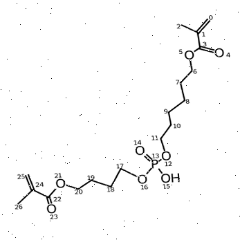 C=C(C)C(=O)OCCCCCCOP(=O)(O)OCCCCOC(=O)C(=C)C